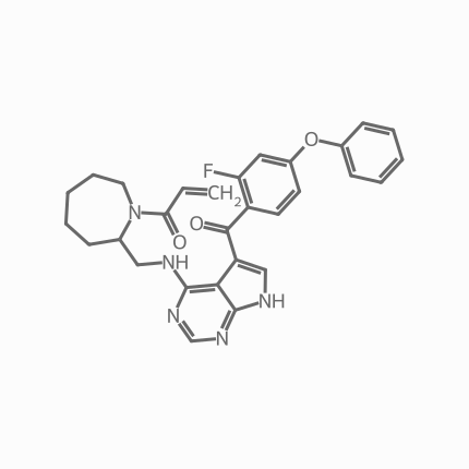 C=CC(=O)N1CCCCCC1CNc1ncnc2[nH]cc(C(=O)c3ccc(Oc4ccccc4)cc3F)c12